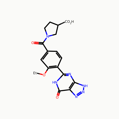 CCOc1cc(C(=O)N2CCC(C(=O)O)C2)ccc1-c1nc2[nH]nnc2c(=O)[nH]1